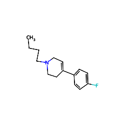 CCCCN1CC=C(c2ccc(F)cc2)CC1